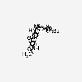 C=CC(=O)Nc1ccc(C(=O)N2CCC[C@@H](Nc3ncc(CCc4ncc(C(C)(C)C)o4)s3)C2)cc1